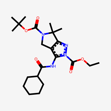 CCOC(=O)n1nc2c(c1NC(=O)C1CCCCC1)CN(C(=O)OC(C)(C)C)C2(C)C